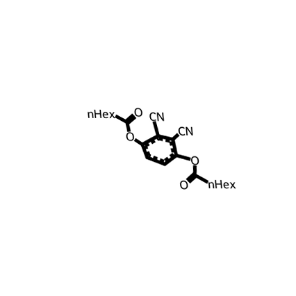 CCCCCCC(=O)Oc1ccc(OC(=O)CCCCCC)c(C#N)c1C#N